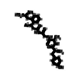 CC(=O)N(CC(=O)NC(=O)CNC(=O)[C@@H](C)NC(=O)[C@@H](N)Cc1ccc(O)cc1)c1ccccc1C[C@H](N)C(=O)O